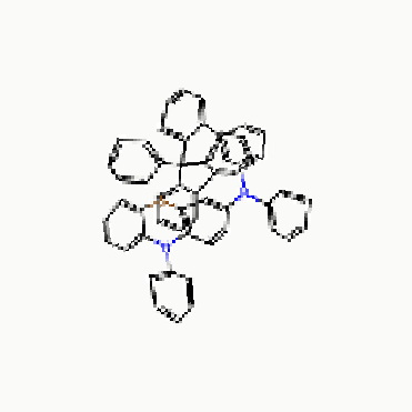 c1ccc(N(c2cccc(-c3ccccc3C3(c4ccccc4)c4ccccc4-c4ccccc43)c2)c2ccc3c(c2)Sc2ccccc2N3c2ccccc2)cc1